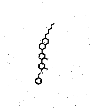 CCCCCCC1CCC2CC(c3ccc(-c4ccc(OCc5ccccc5)c(F)c4)c(F)c3)CCC2C1